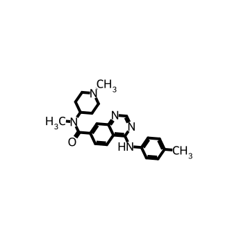 Cc1ccc(Nc2ncnc3cc(C(=O)N(C)C4CCN(C)CC4)ccc23)cc1